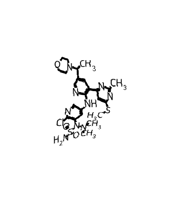 CSc1cc(-c2cc(C(C)N3CCOCC3)cnc2Nc2cnc(Cl)c(N(N(C)C)S(N)(=O)=O)c2)nc(C)n1